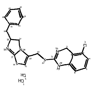 Cl.Cl.Clc1cccc2c1CN=C(SCC1=CSC3=NC(Cc4ccccc4)CN13)N2